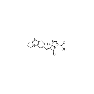 O=C(O)C1=CS[C@@H]2/C(=C\c3ccc4nc5n(c4c3)CCS5)C(=O)N12